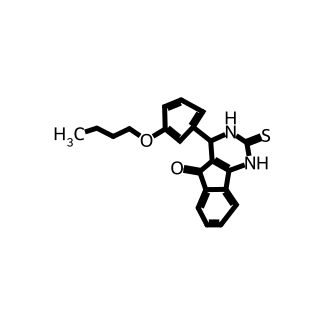 CCCCOc1cccc(C2NC(=S)NC3=C2C(=O)c2ccccc23)c1